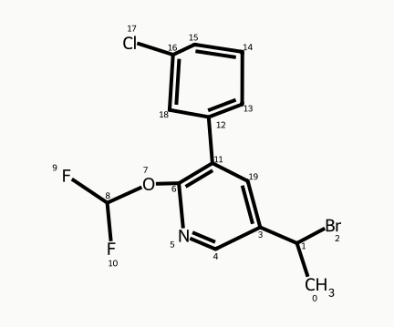 CC(Br)c1cnc(OC(F)F)c(-c2cccc(Cl)c2)c1